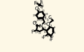 CCOc1ccc(F)c(F)c1C1CC(F)C(=O)N1Cc1ccc(OC(F)(F)F)cc1